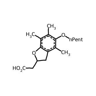 CCCCCOc1c(C)c(C)c2c(c1C)CC(CC(=O)O)O2